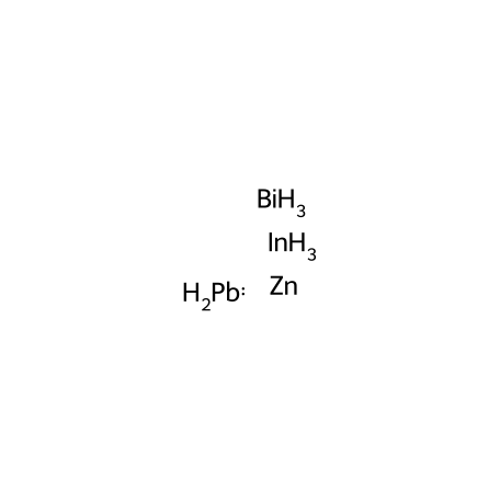 [BiH3].[InH3].[PbH2].[Zn]